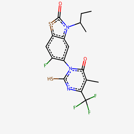 CCC(C)n1c(=O)sc2cc(F)c(-n3c(S)nc(C(F)(F)F)c(C)c3=O)cc21